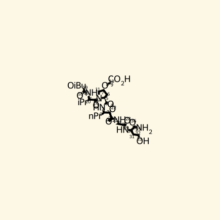 CCCC(NC(=O)[C@@H]1C[C@@H](OCC(=O)O)CN1C(=O)C(NC(=O)OCC(C)C)C(C)C)C(=O)C(=O)NCC(=O)NC(CCO)C(N)=O